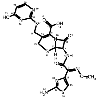 CON=C(C(=O)N[C@@H]1C(=O)N2C(C(=O)O)=C(CSc3nccc(O)n3)CS[C@@H]12)c1csc(N)n1